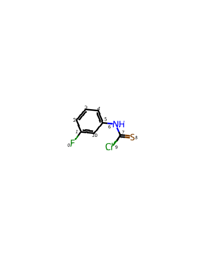 Fc1cccc(NC(=S)Cl)c1